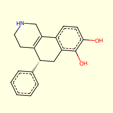 Oc1ccc2c(c1O)C[C@H](c1ccccc1)C1=C2CNCC1